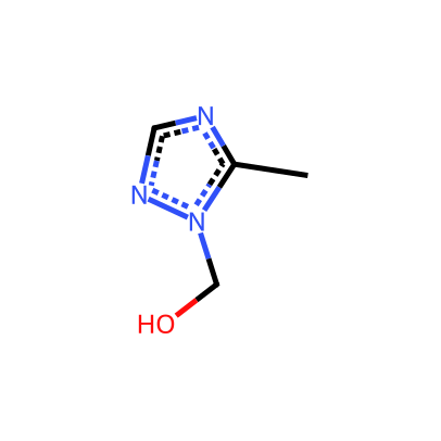 Cc1ncnn1CO